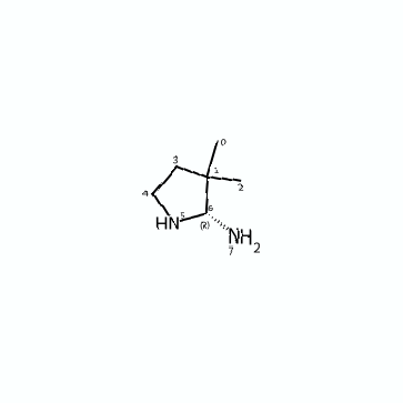 CC1(C)CCN[C@H]1N